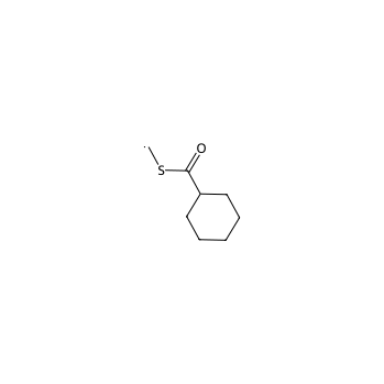 [CH2]SC(=O)C1CCCCC1